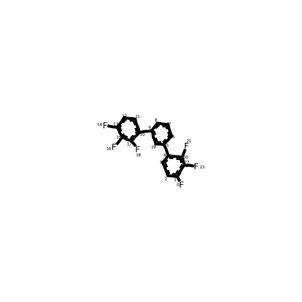 Fc1ccc(-c2c[c]cc(-c3ccc(F)c(F)c3F)c2)c(F)c1F